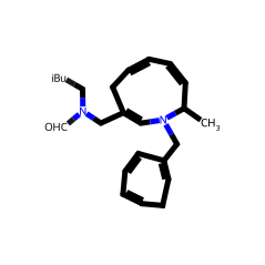 CCC(C)CN(C=O)C/C1=C/N(CC2=CCC=CC=C2)C(C)/C=C\C=C/C1